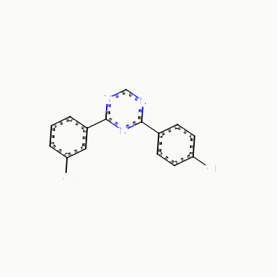 Cc1ccc(-c2ncnc(-c3cccc(C)c3)n2)cc1